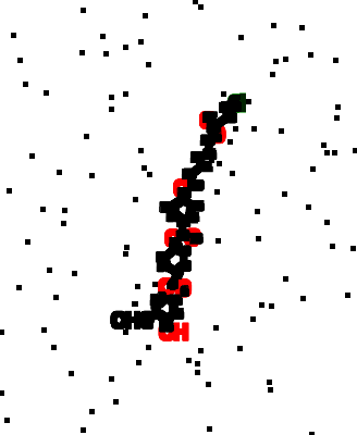 O=Cc1cc(OC(=O)[C@H]2CC[C@H](OC(=O)c3ccc(OCCCCCCOC(=O)CCCl)cc3)CC2)ccc1O